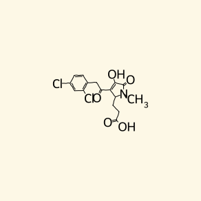 CN1C(=O)C(O)=C(C(=O)Cc2ccc(Cl)cc2Cl)C1CCC(=O)O